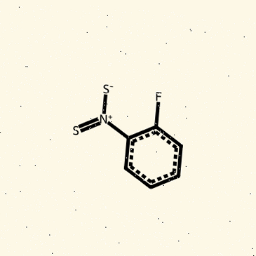 Fc1ccccc1[N+](=S)[S-]